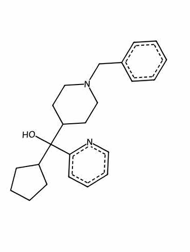 OC(c1ccccn1)(C1CCCC1)C1CCN(Cc2ccccc2)CC1